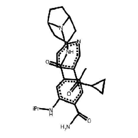 Cc1cc(C(N)=O)c(NC(C)C)cc1C(=O)NC1CC2CCC(C1)N2c1ccc(C(=O)C2CC2)cn1